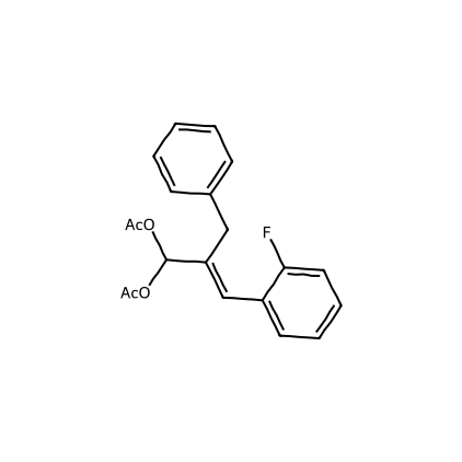 CC(=O)OC(OC(C)=O)/C(=C/c1ccccc1F)Cc1ccccc1